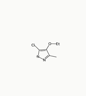 CCOC1=C(Cl)[N]N=C1C